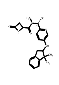 CN(C(=O)C1CC(=O)N1)[C@@H](c1ccc(NC2Cc3ccccc3C2(C)C)cn1)C(F)(F)F